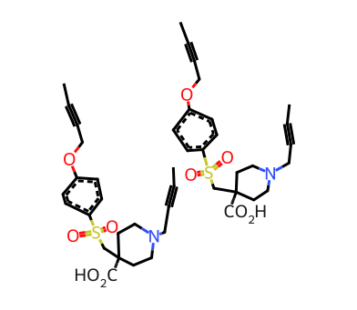 CC#CCOc1ccc(S(=O)(=O)CC2(C(=O)O)CCN(CC#CC)CC2)cc1.CC#CCOc1ccc(S(=O)(=O)CC2(C(=O)O)CCN(CC#CC)CC2)cc1